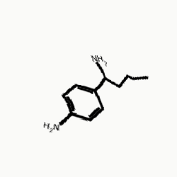 CCCC(N)c1ccc(N)cc1